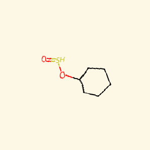 O=[SH]OC1CCCCC1